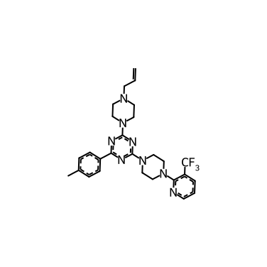 C=CCN1CCN(c2nc(-c3ccc(C)cc3)nc(N3CCN(c4ncccc4C(F)(F)F)CC3)n2)CC1